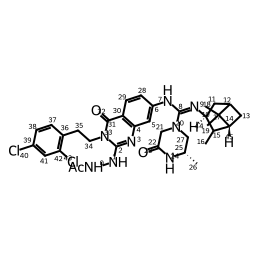 CC(=O)NNc1nc2cc(N/C(=N/[C@H]3CC4C[C@H](C3C)C4(C)C)N3CC(=O)N[C@@H](C)C3)ccc2c(=O)n1CCc1ccc(Cl)cc1Cl